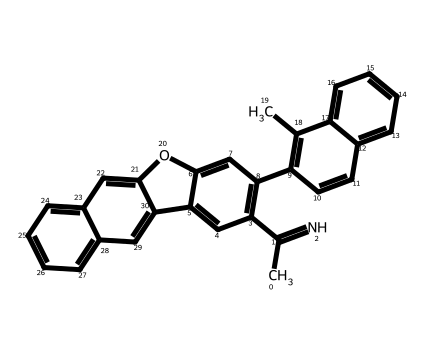 CC(=N)c1cc2c(cc1-c1ccc3ccccc3c1C)oc1cc3ccccc3cc12